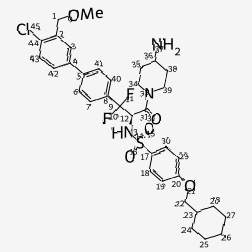 COCc1cc(-c2ccc(C(F)(F)[C@H](NS(=O)(=O)c3ccc(OCC4CCCCC4)cc3)C(=O)N3CCC(N)CC3)cc2)ccc1Cl